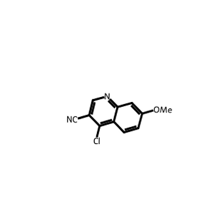 COc1ccc2c(Cl)c(C#N)cnc2c1